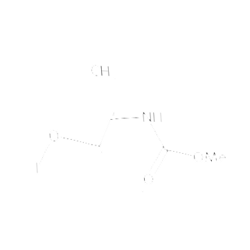 COC(=O)N[C@@H](C)COI